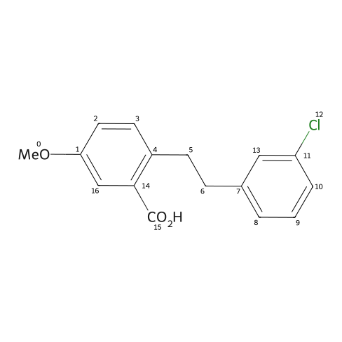 COc1ccc(CCc2cccc(Cl)c2)c(C(=O)O)c1